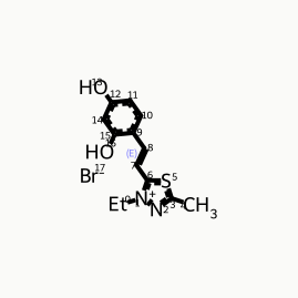 CC[n+]1nc(C)sc1/C=C/c1ccc(O)cc1O.[Br-]